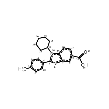 Cc1ccc(-c2nc3cc(C(=O)O)ccc3n2C2CCCCC2)cc1